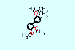 COc1cccc(-c2cc[c]c(OC(C)(C)C)c2)c1OC